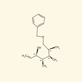 C=C[C@@H](O)[C@H](C)[C@H](C)[C@H](C)COCc1ccccc1